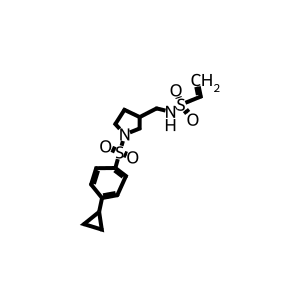 C=CS(=O)(=O)NCC1CCN(S(=O)(=O)c2ccc(C3CC3)cc2)C1